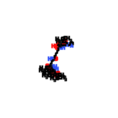 CC(C)(C)OC(=O)CC[C@H](NC(=O)N[C@@H](CCCCNC(=O)CCCCCCC(=O)N[C@@H](CCCCN(CC(=O)OC(C)(C)C)Cc1ccccn1)C(=O)O)C(=O)OC(C)(C)C)C(=O)OC(C)(C)C